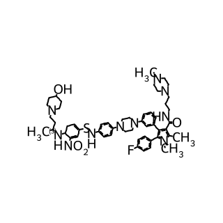 Cc1c(C(=O)NCCCN2CCN(C)CC2)c(-c2cccc(N3CCN(c4ccc(NSC5=CCC(N[C@@H](C)CCN6CCC(O)CC6)C([N+](=O)[O-])=C5)cc4)CC3)c2)c(-c2ccc(F)cc2)n1C